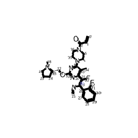 C=CC(=O)N1CCN(c2nc(OC[C@@H]3CCCN3C)nc(/C(F)=C(\N=C)c3ccccc3F)c2C)CC1